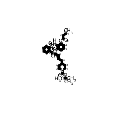 C=Cc1ccccc1S(=O)(=O)Nc1c(OCCCCC2CCN(C(=O)OC(C)(C)C)CC2)cccc1OC(=O)CCC